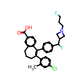 Cc1cc(Cl)ccc1C1=C(c2ccc(C(F)C3CN(CCCF)C3)cc2)c2ccc(C(=O)O)cc2CCC1